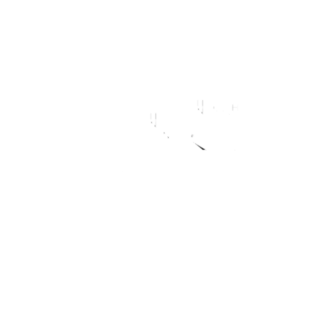 CC(C)C[C@H](NC(=O)O)N1Cc2c(cccc2-c2ccccc2)N1